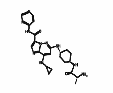 C[C@@H](N)C(=O)N[C@H]1CC[C@H](Nc2cc(NC3CC3)c3ncc(C(=O)Nc4ccncn4)n3n2)CC1